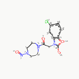 O=NN1CCN(C(=O)Cn2c(=O)oc3ccc(Cl)cc32)CC1